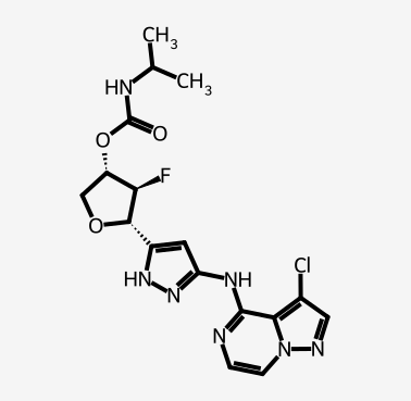 CC(C)NC(=O)O[C@H]1CO[C@@H](c2cc(Nc3nccn4ncc(Cl)c34)n[nH]2)[C@@H]1F